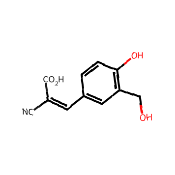 N#CC(=Cc1ccc(O)c(CO)c1)C(=O)O